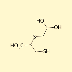 O=C(O)C(CS)SCC(O)O